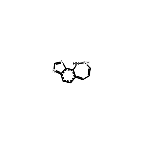 C1=CNNc2c3c(ccc2=C1)=NC=N3